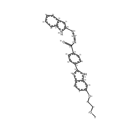 COCCOc1ccc2nc(-c3ccc(C(=O)N=[N+]=Nc4cc5ccccc5[nH]4)cc3)[nH]c2c1